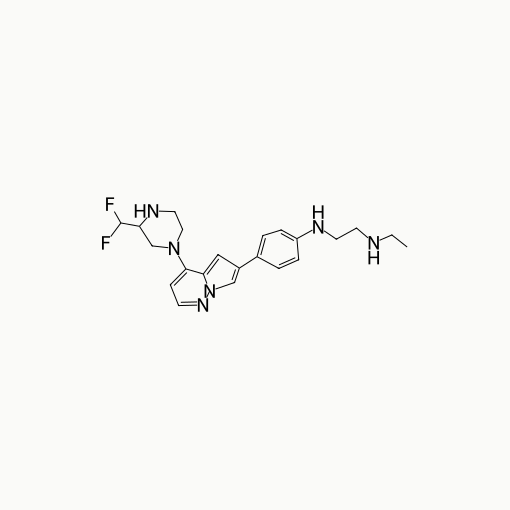 CCNCCNc1ccc(-c2cc3c(N4CCNC(C(F)F)C4)ccnn3c2)cc1